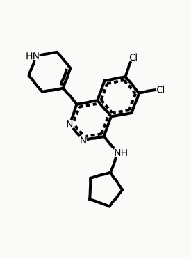 Clc1cc2c(NC3CCCC3)nnc(C3=CCNCC3)c2cc1Cl